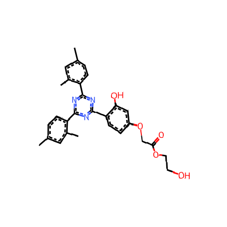 Cc1ccc(-c2nc(-c3ccc(C)cc3C)nc(-c3ccc(OCC(=O)OCCO)cc3O)n2)c(C)c1